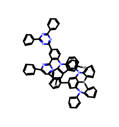 CC(C)(C)c1ccc2c(c1)c1cc(C(C)(C)C)ccc1n2-c1ccc(-c2nc(-c3ccccc3)nc(-c3ccccc3)n2)cc1-c1nc(-c2ccccc2)cc(-c2cccc(-c3cc4c5c(c3)N(c3ccccc3)c3ccccc3B5c3ccccc3N4c3ccccc3)c2)n1